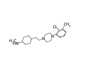 CNC1CCC(CCN2CCN(c3cccc(C)c3Cl)CC2)CC1